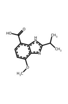 COc1ccc(C(=O)O)c2[nH]c(C(C)C)nc12